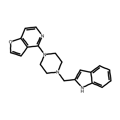 c1ccc2[nH]c(CN3CCN(c4nccc5occc45)CC3)cc2c1